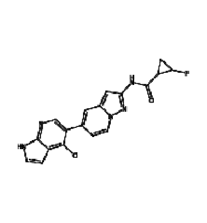 O=C(Nc1cc2cc(-c3cnc4[nH]ccc4c3Cl)ccn2n1)C1CC1F